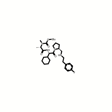 C[C@@H](C(=O)N[C@H](C(=O)N1CCC[C@H]1CNCCc1ccc(F)cc1)C1CCCCC1)N(C)C(=O)OC(C)(C)C